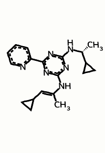 CC(=CC1CC1)Nc1nc(N[C@H](C)C2CC2)nc(-c2ccccn2)n1